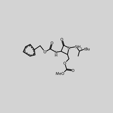 COC(=O)OCC1C(NC(=O)OCc2ccccc2)C(=O)N1[SiH2]C(C)C(C)(C)C